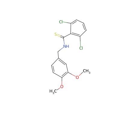 COc1ccc(CNC(=S)c2c(Cl)cccc2Cl)cc1OC